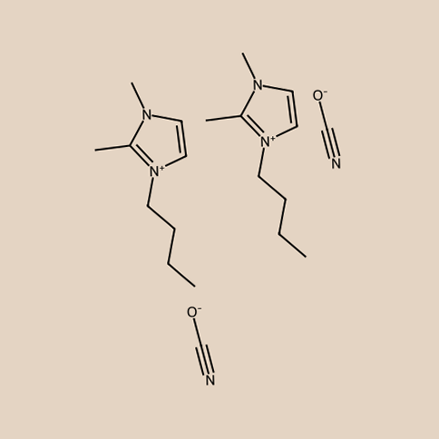 CCCC[n+]1ccn(C)c1C.CCCC[n+]1ccn(C)c1C.N#C[O-].N#C[O-]